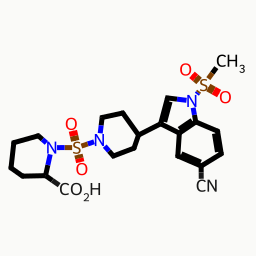 CS(=O)(=O)n1cc(C2CCN(S(=O)(=O)N3CCCCC3C(=O)O)CC2)c2cc(C#N)ccc21